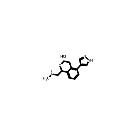 CNCC1OCCc2c(-c3cn[nH]c3)cccc21.Cl